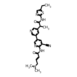 CCc1cnc(NC(=O)C(C)c2cncc(-c3cnc(NC(=O)/C=C/CN(C)C)c(C#N)c3)c2)s1